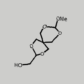 COC1OCC2(COC(CO)OC2)CO1